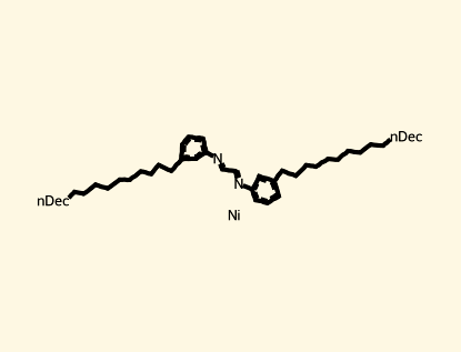 CCCCCCCCCCCCCCCCCCCCc1cccc(N=CC=Nc2cccc(CCCCCCCCCCCCCCCCCCCC)c2)c1.[Ni]